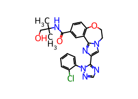 CC(C)(CO)NC(=O)c1ccc2c(c1)-c1nc(-c3ncnn3-c3ccccc3Cl)cn1CCO2